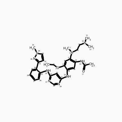 CCOc1cc(N(C)CCN(C)C)c(NC(C)=O)cc1Nc1cc(Nc2ccccc2-c2ccn(C)n2)ncn1